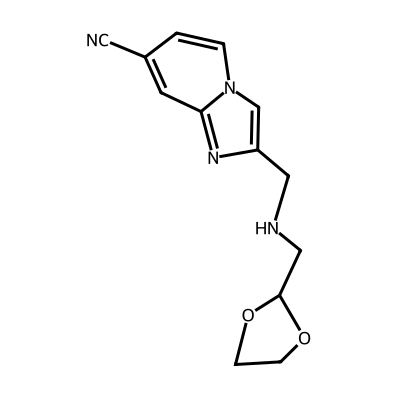 N#Cc1ccn2cc(CNCC3OCCO3)nc2c1